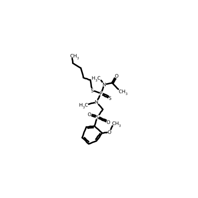 CCCCCSP(=S)(N(C)CS(=O)(=O)c1ccccc1OC)N(C)C(C)=O